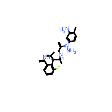 C=C(N)c1cccc(F)c1C(C(=C)C)/C(C)=N\CC(=C)N(N)c1ccc(C)c(N)c1